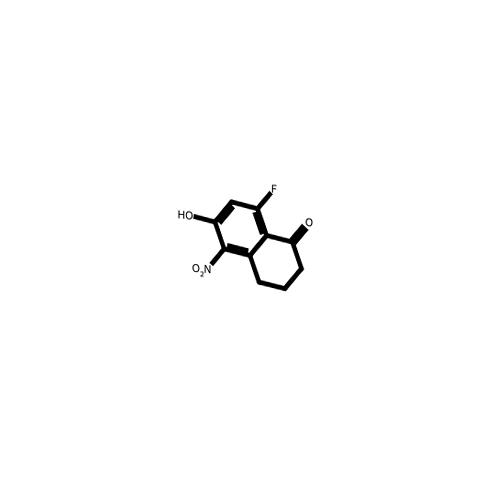 O=C1CCCc2c1c(F)cc(O)c2[N+](=O)[O-]